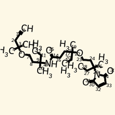 C#CCC(C)(C)OCCC(C)(CC)NC(=O)CCC(C)(CC)OCCC(C)(CC)N1C(=O)C=CC1=O